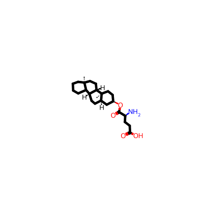 C[C@@]12CCCCC1[C@@H]1CC[C@@H]3C[C@H](OC(=O)[C@@H](N)CCC(=O)O)CC[C@]3(C)[C@H]1CC2